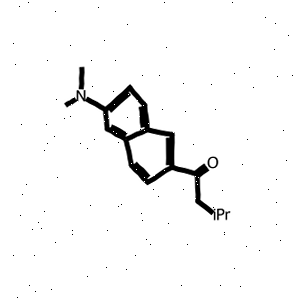 CC(C)CC(=O)c1ccc2cc(N(C)C)ccc2c1